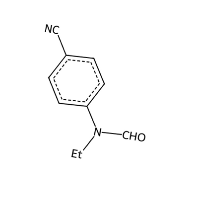 [CH2]CN(C=O)c1ccc(C#N)cc1